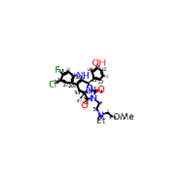 CCN(CCOC)CCN1C(=O)N2[C@H](c3cccc(O)c3)c3[nH]c4cc(F)c(Cl)cc4c3C[C@@]2(C)C1=O